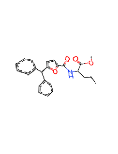 CCCC(NC(=O)c1ccc(C(c2ccccc2)c2ccccc2)o1)C(=O)OC